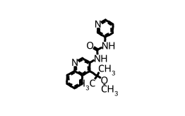 COC(C)(C)c1c(NC(=O)Nc2cccnc2)cnc2ccccc12